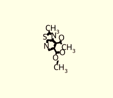 CCOC(=O)c1cnc2sc(C)nc2c1C(C)=O